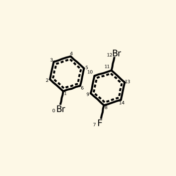 Brc1ccccc1.Fc1ccc(Br)cc1